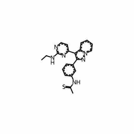 CCNc1nccc(-c2c(-c3cccc(NC(C)=S)c3)nn3ccccc23)n1